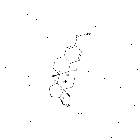 CCCOc1ccc2c(c1)CC[C@@H]1[C@@H]2CC[C@]2(C)[C@@H](OC)CC[C@@H]12